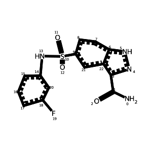 NC(=O)c1n[nH]c2ccc(S(=O)(=O)Nc3cccc(F)c3)cc12